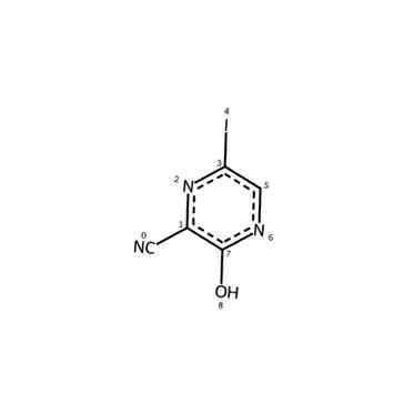 N#Cc1nc(I)cnc1O